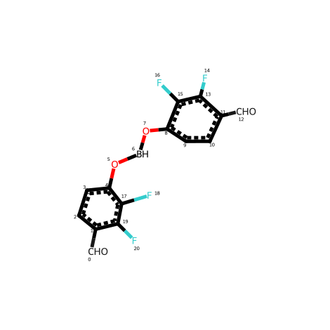 O=Cc1ccc(OBOc2ccc(C=O)c(F)c2F)c(F)c1F